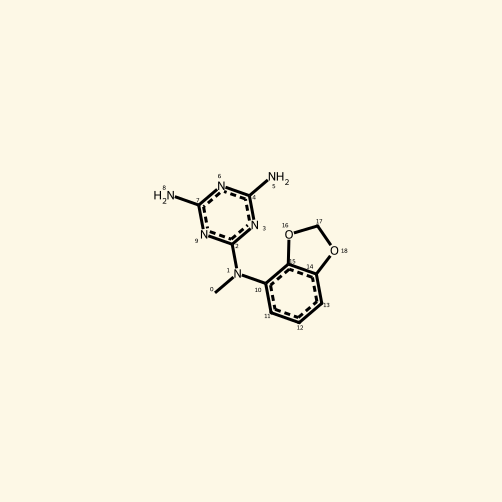 CN(c1nc(N)nc(N)n1)c1cccc2c1OCO2